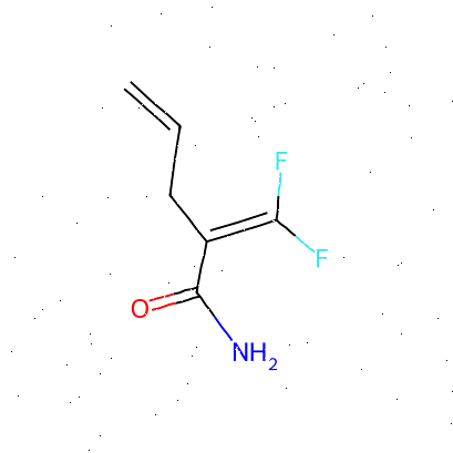 C=CCC(C(N)=O)=C(F)F